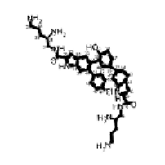 NCCC[C@@H](N)CNC(=O)c1cc2ccc(-c3ccc(O)c(-c4cc5cc(C(=O)NC[C@H](N)CCCN)[nH]c5cc4-c4ccc(Cl)cc4)c3)cc2[nH]1